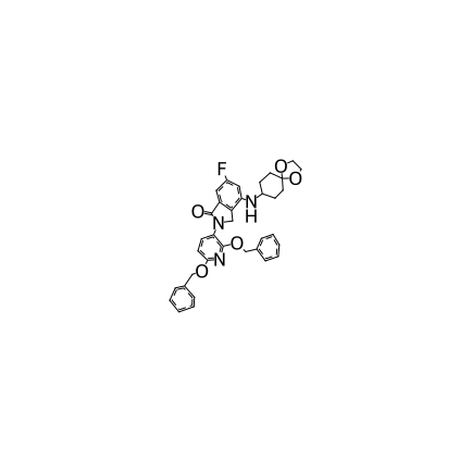 O=C1c2cc(F)cc(NC3CCC4(CC3)OCCO4)c2CN1c1ccc(OCc2ccccc2)nc1OCc1ccccc1